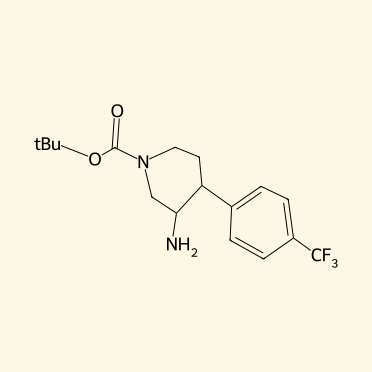 CC(C)(C)OC(=O)N1CCC(c2ccc(C(F)(F)F)cc2)C(N)C1